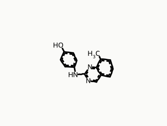 Cc1cccc2cnc(Nc3ccc(O)cc3)nc12